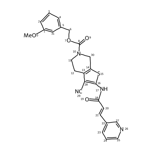 COc1cccc(COC(=O)N2CCc3c(sc(NC(=O)C=Cc4cccnc4)c3C#N)C2)c1